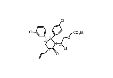 C=CC[C@H]1C[C@H](c2cccc(Cl)c2)[C@@H](c2ccc(Cl)cc2)N([C@H](CC)COCC(=O)OCC)C1=O